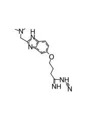 CN(C)Cc1nc2cc(OCCCC(=N)NC#N)ccc2[nH]1